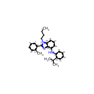 CCCCn1c(-c2ccccc2C)nc2c(Nc3ccccc3C(C)C)cccc21